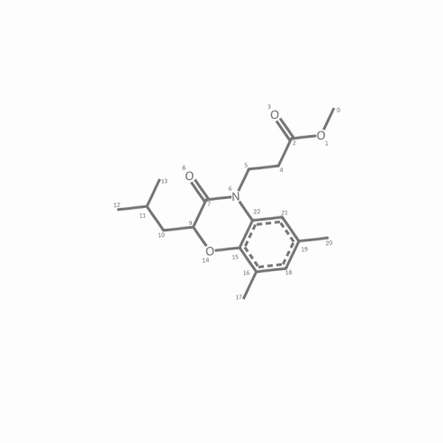 COC(=O)CCN1C(=O)C(CC(C)C)Oc2c(C)cc(C)cc21